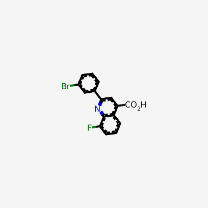 O=C(O)c1cc(-c2cccc(Br)c2)nc2c(F)cccc12